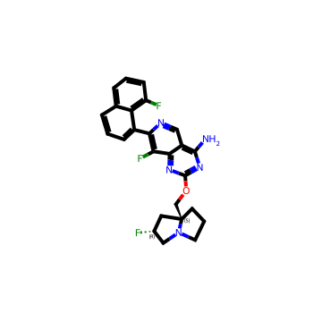 Nc1nc(OC[C@@]23CCCN2C[C@H](F)C3)nc2c(F)c(-c3cccc4cccc(F)c34)ncc12